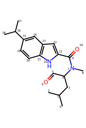 CC(C)CC(C=O)N(C)C(=O)c1cc2cc(C(C)C)ccc2[nH]1